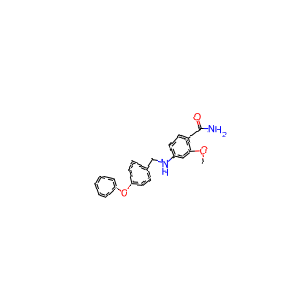 COc1cc(NCc2ccc(Oc3ccccc3)cc2)ccc1C(N)=O